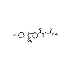 COC(=O)CCNC(=O)c1ccc2c(c1)nc(-c1ccc(C#N)cc1)n2C